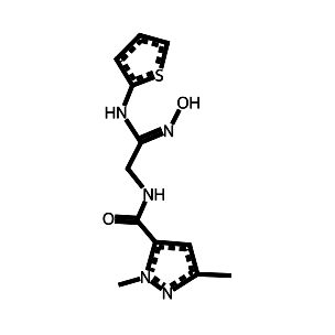 Cc1cc(C(=O)NCC(=NO)Nc2cccs2)n(C)n1